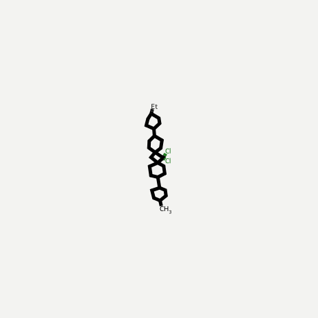 CCC1CCC(C2CCC3(CC2)CC2(CCC(C4CCC(C)CC4)CC2)C3(Cl)Cl)CC1